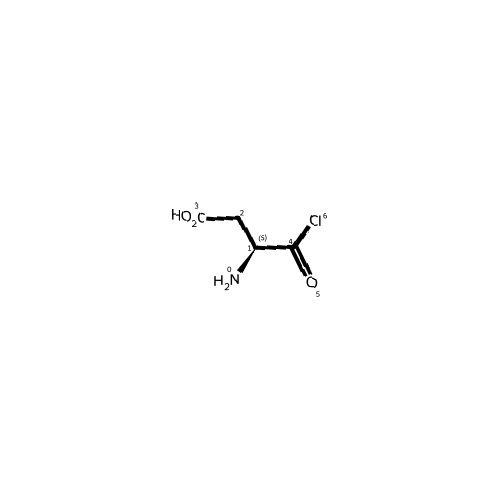 N[C@@H](CC(=O)O)C(=O)Cl